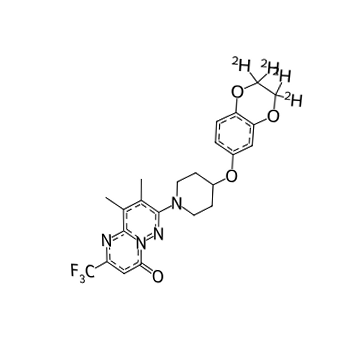 [2H]C1([2H])Oc2ccc(OC3CCN(c4nn5c(=O)cc(C(F)(F)F)nc5c(C)c4C)CC3)cc2OC1([2H])[2H]